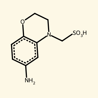 Nc1ccc2c(c1)N(CS(=O)(=O)O)CCO2